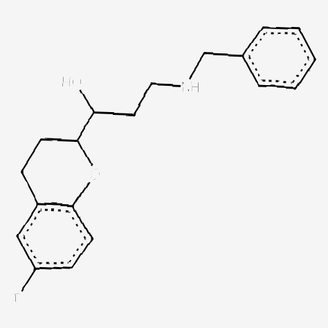 OC(CCNCc1ccccc1)C1CCc2cc(F)ccc2O1